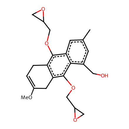 COC1=CCc2c(c(OCC3CO3)c3c(CO)cc(C)cc3c2OCC2CO2)C1